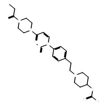 CCC(=O)N1CCN(C(/C=C\N(C=O)c2ccc(CCN3CCC(NC(=N)N)CC3)cc2)=N/C)CC1